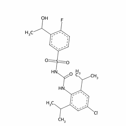 CC(C)c1cc(Cl)cc(C(C)C)c1NC(=O)NS(=O)(=O)c1ccc(F)c(C(C)O)c1